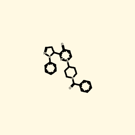 O=C(c1ccccc1)N1CCC(n2ccc(=O)c(C3CC=NN3c3ccccc3)n2)CC1